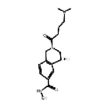 CN(C)CCCC(=O)N1CCc2cc(C(=O)NO)ccc2C1.Cl